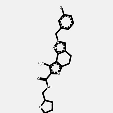 Cc1c(C(=O)NCC2CCCO2)oc2c1-c1nn(Cc3cccc(Cl)c3)cc1CC2